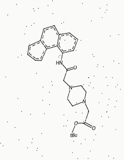 CC(C)(C)OC(=O)CN1CCN(CC(=O)Nc2cccc3ccc4ccccc4c23)CC1